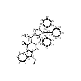 CCc1c2c(n3ccccc13)C(=O)C(C(O)c1ncn(C(c3ccccc3)(c3ccccc3)c3ccccc3)c1C)CC2